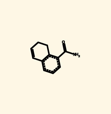 NC(=O)c1cccc2c1CCC=C2